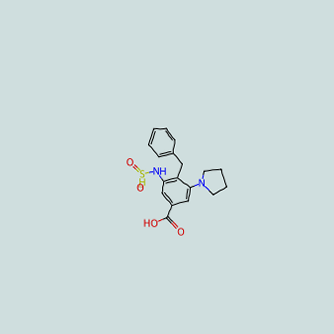 O=C(O)c1cc(N[SH](=O)=O)c(Cc2ccccc2)c(N2CCCC2)c1